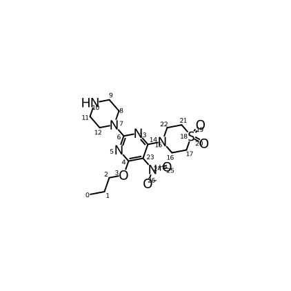 CCCOc1nc(N2CCNCC2)nc(N2CCS(=O)(=O)CC2)c1[N+](=O)[O-]